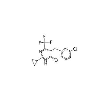 O=c1[nH]c(C2CC2)nc(C(F)(F)F)c1Cc1cccc(Cl)c1